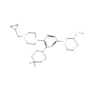 CO[C@H]1CCCN(c2ccc(N3CCN(CC4CC4)CC3)c(C3CCC(C)(C)CC3)c2)C1